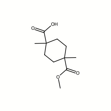 COC(=O)C1(C)CCC(C)(C(=O)O)CC1